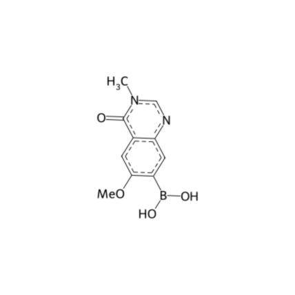 COc1cc2c(=O)n(C)cnc2cc1B(O)O